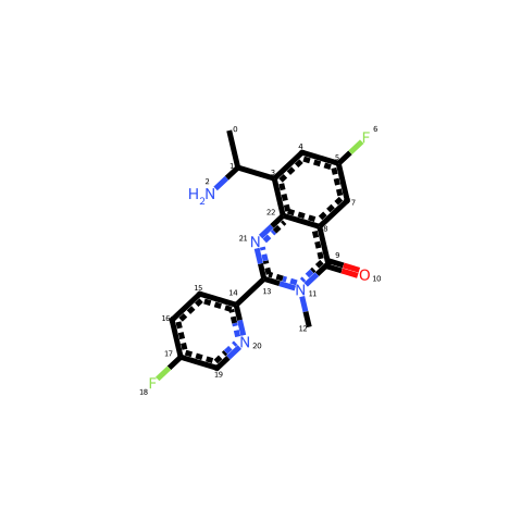 CC(N)c1cc(F)cc2c(=O)n(C)c(-c3ccc(F)cn3)nc12